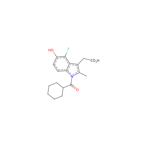 Cc1c(CC(=O)O)c2c(F)c(O)ccc2n1C(=O)C1CCCCC1